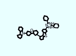 C1=CCCC(C2NC(c3ccccc3)=NC(c3ccc4c(c3)sc3cccc(-c5ccc6oc7cc(-n8c9ccccc9c9ccccc98)ccc7c6c5)c34)N2)=C1